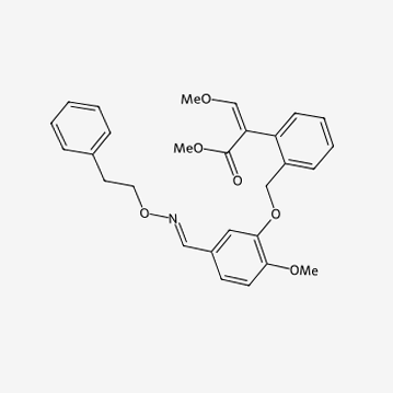 COC=C(C(=O)OC)c1ccccc1COc1cc(C=NOCCc2ccccc2)ccc1OC